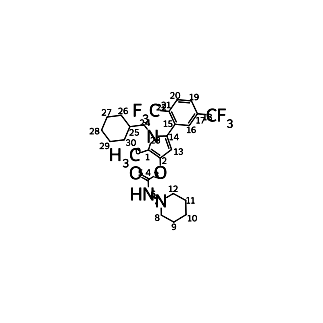 Cc1c(OC(=O)NN2CCCCC2)cc(-c2cc(C(F)(F)F)ccc2C(F)(F)F)n1CC1CCCCC1